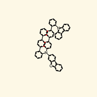 c1ccc(-c2ccc(-c3ccccc3N(c3ccc(-c4ccc(-c5ccccc5-n5c6ccccc6c6ccccc65)cc4)cc3)c3ccc4c(c3)oc3ccccc34)cc2)cc1